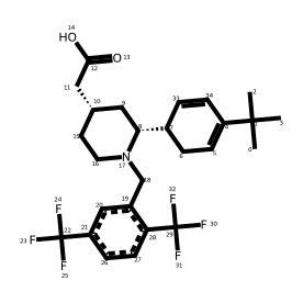 CC(C)(C)C1=CCC([C@H]2C[C@@H](CC(=O)O)CCN2Cc2cc(C(F)(F)F)ccc2C(F)(F)F)C=C1